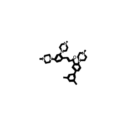 Cc1cc(C)cc(-c2ccc(N3CCN(C)CC3)c(C(=O)C=Cc3ccc(N4CCN(C)CC4)cc3N3CCN(C)CC3)c2)c1